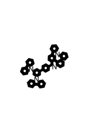 c1ccc(-n2c3ccccc3c3ccc4c(-c5ccc(-c6cc(-n7c8ccccc8c8ccccc87)cc(-n7c8ccccc8c8ccccc87)c6)cc5)nc5ccccc5c4c32)cc1